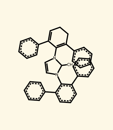 CC1N(C2=C(c3ccccc3)CCC=C2c2ccccc2)C=CN1c1c(-c2ccccc2)cccc1-c1ccccc1